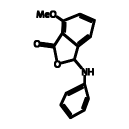 COc1cccc2c1C(=O)OC2Nc1ccccc1